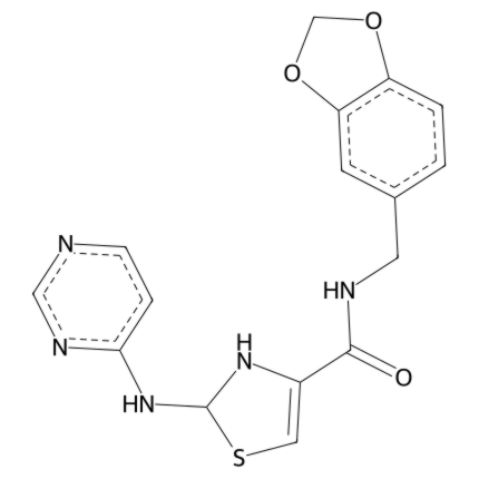 O=C(NCc1ccc2c(c1)OCO2)C1=CSC(Nc2ccncn2)N1